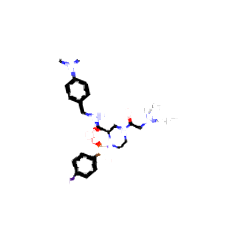 CCCN(CCC)CC(=O)N1CCN(S(=O)(=O)c2ccc(I)cc2)C(C(=O)NCc2ccc(N(C)C)cc2)C1